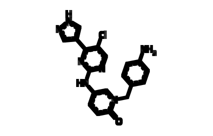 Nc1ccc(Cn2cc(Nc3ncc(Cl)c(-c4cn[nH]c4)n3)ccc2=O)cc1